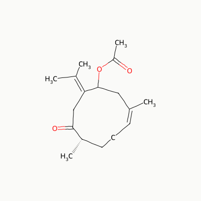 CC(=O)OC1CC(C)=CCC[C@H](C)C(=O)CC1=C(C)C